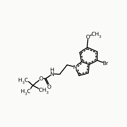 COc1cc(Br)c2ccn(CCNC(=O)OC(C)(C)C)c2c1